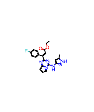 CCOC(=O)C=C(c1ccc(F)cc1)c1nc(Nc2cc(C)[nH]n2)n2cccc2n1